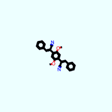 COc1cc(/C(C#N)=C/c2ccccc2)c(OC)cc1/C(C#N)=C/c1ccccc1